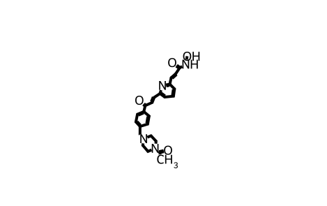 CC(=O)N1CCN(Cc2ccc(C(=O)C=Cc3cccc(C=CC(=O)NO)n3)cc2)CC1